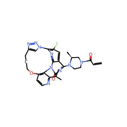 C=CC(=O)N1CCN(c2nc(=O)n3c4nc(c(F)cc24)-n2cc(nn2)CCCOc2ccnc(C(C)C)c2-3)[C@@H](C)C1